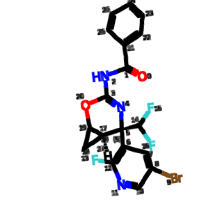 O=C(NC1=N[C@@](c2cc(Br)cnc2F)(C(F)F)[C@H]2CC2O1)c1ccccc1